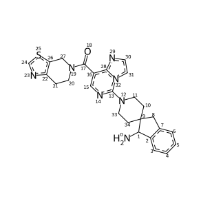 NC1c2ccccc2CC12CCN(c1ncc(C(=O)N3CCc4ncsc4C3)c3nccn13)CC2